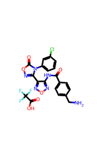 NCc1ccc(C(=O)Nc2nonc2-c2noc(=O)n2-c2cccc(Cl)c2)cc1.O=C(O)C(F)(F)F